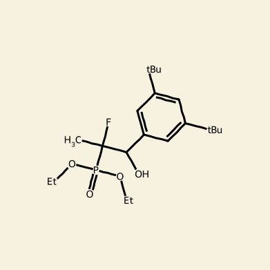 CCOP(=O)(OCC)C(C)(F)C(O)c1cc(C(C)(C)C)cc(C(C)(C)C)c1